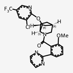 COc1cccc(-c2ncccn2)c1C(=O)N1C[C@@H]2CC[C@H]1[C@H](Oc1ncc(C(F)(F)F)cc1Cl)C2